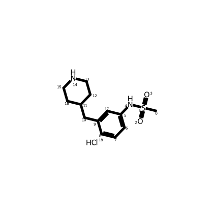 CS(=O)(=O)Nc1cccc(CC2CCNCC2)c1.Cl